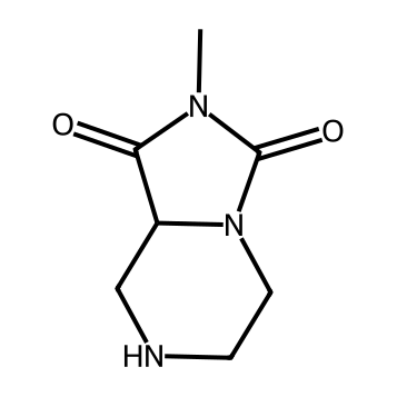 CN1C(=O)C2CNCCN2C1=O